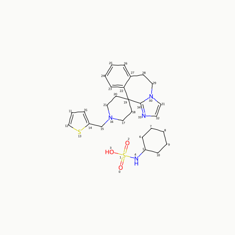 O=S(=O)(O)NC1CCCCC1.c1csc(CN2CCC3(CC2)c2ccccc2CCn2ccnc23)c1